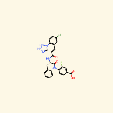 O=C(/C=C/c1cc(Cl)ccc1N1C=NNN1)N[C@@H](Cc1ccccc1)C(=O)Nc1ccc(C(=O)O)cc1F